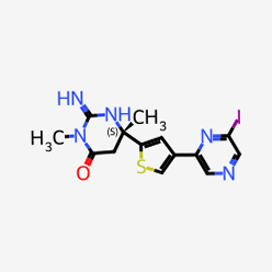 CN1C(=N)N[C@](C)(c2cc(-c3cncc(I)n3)cs2)CC1=O